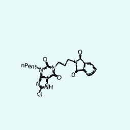 CCCCCn1c(=O)n(CCCN2C(=O)c3ccccc3C2=O)c(=O)c2[nH]c(Cl)nc21